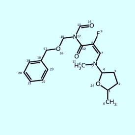 CC1CCC(N(C)/C=C(/F)C(=O)N(C=O)COCc2ccccc2)O1